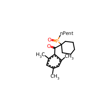 CCCCC[P](=O)C1(C(=O)c2c(C)cc(C)cc2C)CCCCC1